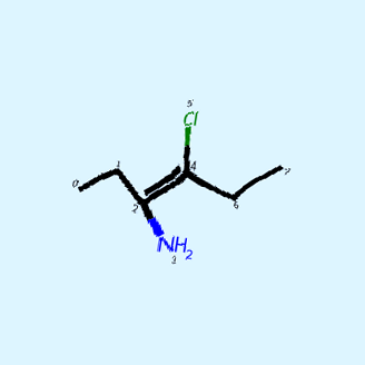 CCC(N)=C(Cl)CC